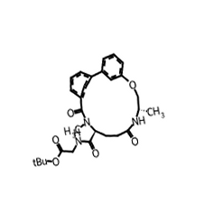 C[C@H]1COc2cccc(c2)-c2cccc(c2)C(=O)N(C)[C@H](C(=O)NCC(=O)OC(C)(C)C)CCC(=O)N1